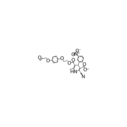 COC(=O)C1=C(C#N)NC(C)=C(C(=O)OCCOc2ccc(OCC3CO3)cc2)C1c1cccc([N+](=O)[O-])c1